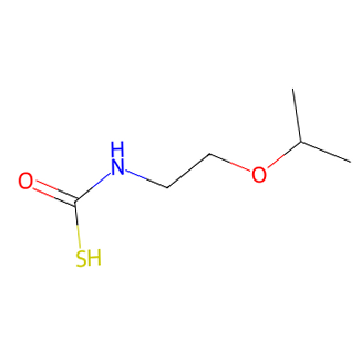 CC(C)OCCNC(=O)S